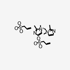 C=CCS(=O)(=O)[O-].C=CCS(=O)(=O)[O-].CC1=NC=C[N+]1(C)C[N+]1(C)C=CN=C1C